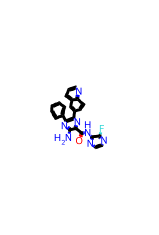 Nc1nc(-c2ccccc2)c(-c2ccc3ncccc3c2)nc1C(=O)Nc1nccnc1F